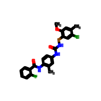 COc1cc(C)c(Cl)cc1SNC(=O)Nc1ccc(NC(=O)c2ccccc2F)c(C)c1